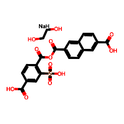 O=C(O)c1ccc(C(=O)OC(=O)c2ccc3cc(C(=O)O)ccc3c2)c(S(=O)(=O)O)c1.OCCO.[NaH]